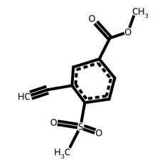 C#Cc1cc(C(=O)OC)ccc1S(C)(=O)=O